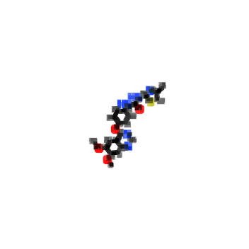 COc1cc2ncnc(Oc3ccc(NC(=O)Nc4nc(C)cs4)cc3)c2cc1OC